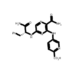 CC(C)C[C@@H](Nc1cnc(C(N)=O)c(Nc2ccc(C(=O)O)nc2)n1)C(N)=O